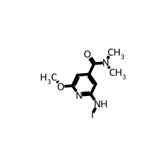 COc1cc(C(=O)N(C)C)cc(NI)n1